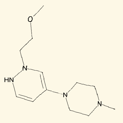 COCCN1C=C(N2CCN(C)CC2)C=CN1